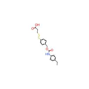 CCc1ccc(NC(=O)OCc2ccc(SSCCC(=O)O)cc2)cc1